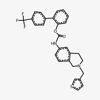 O=C(Nc1ccc2c(c1)CCN(Cc1ccsc1)C2)Oc1ccccc1-c1ccc(C(F)(F)F)cc1